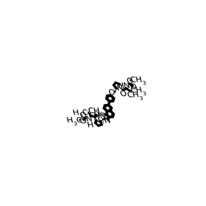 COC(=O)N[C@H](C(=O)N1CCC[C@H]1COc1ccc(-c2ccc3c(ccc4nc([C@@H]5CCCN5C(=O)[C@@H](NC(=O)OC)C(C)C)[nH]c43)c2)cc1)C(C)C